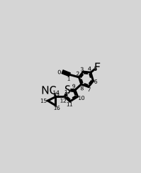 C#Cc1cc(F)ccc1-c1ccc(C2(C#N)CC2)s1